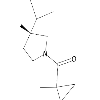 CC(C)[C@@]1(C)CCN(C(=O)C2(C)CC2)C1